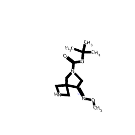 CO/N=C1\CN(C(=O)OC(C)(C)C)CC12CNC2